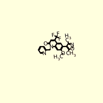 COc1cc2c(cc1-c1c(C)noc1C)c(C(F)(F)F)cc(=O)n2Cc1ccccn1